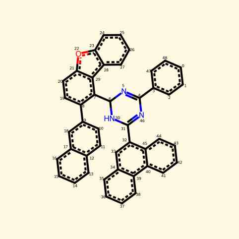 c1ccc(C2=NC(c3c(-c4ccc5ccccc5c4)ccc4oc5ccccc5c34)NC(c3cc4ccccc4c4ccccc34)=N2)cc1